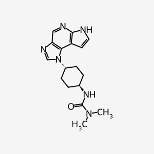 CN(C)C(=O)N[C@H]1CC[C@H](n2cnc3cnc4[nH]ccc4c32)CC1